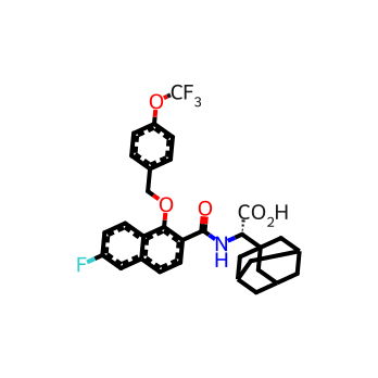 O=C(N[C@H](C(=O)O)C12CC3CC(CC(C3)C1)C2)c1ccc2cc(F)ccc2c1OCc1ccc(OC(F)(F)F)cc1